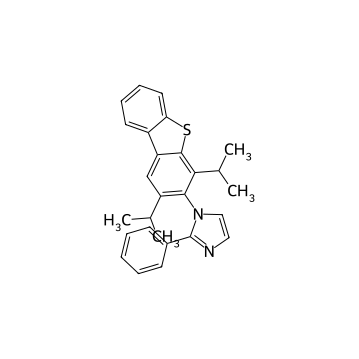 CC(C)c1cc2c(sc3ccccc32)c(C(C)C)c1-n1ccnc1-c1ccccc1